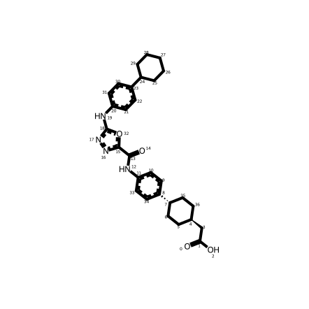 O=C(O)C[C@H]1CC[C@H](c2ccc(NC(=O)c3nnc(Nc4ccc(C5CCCCC5)cc4)o3)cc2)CC1